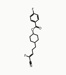 N#CC(F)=CCCC1CCC(OC(=O)c2ccc(F)cc2)CC1